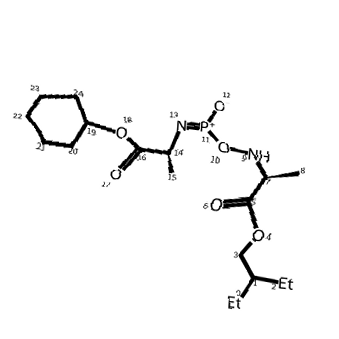 CCC(CC)COC(=O)[C@H](C)NO[P+]([O-])=N[C@@H](C)C(=O)OC1CCCCC1